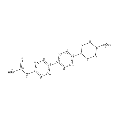 CCCCCCCCC1CCC(c2ccc(-c3ccc(OC(=O)CCCC)cc3)cc2)CC1